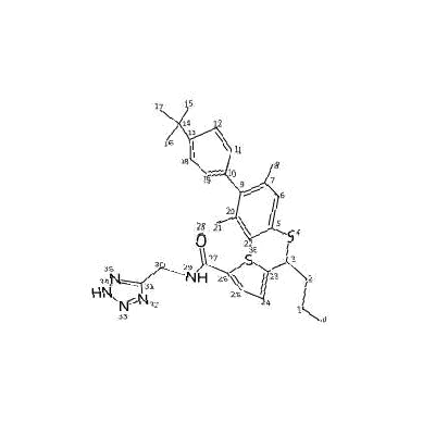 CCCC(Sc1cc(C)c(-c2ccc(C(C)(C)C)cc2)c(C)c1)c1ccc(C(=O)NCc2nn[nH]n2)s1